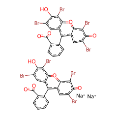 O=C([O-])c1ccccc1-c1c2cc(Br)c(=O)c(Br)c-2oc2c(Br)c(O)c(Br)cc12.O=C([O-])c1ccccc1-c1c2cc(Br)c(=O)c(Br)c-2oc2c(Br)c(O)c(Br)cc12.[Na+].[Na+]